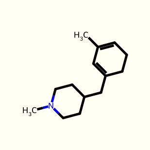 CC1=CCCC(CC2CCN(C)CC2)=C1